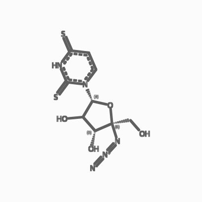 [N-]=[N+]=N[C@]1(CO)O[C@@H](n2ccc(=S)[nH]c2=S)C(O)[C@H]1O